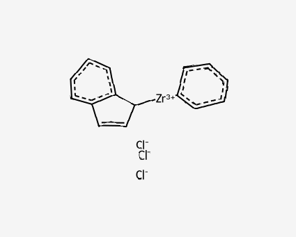 C1=C[CH]([Zr+3][c]2ccccc2)c2ccccc21.[Cl-].[Cl-].[Cl-]